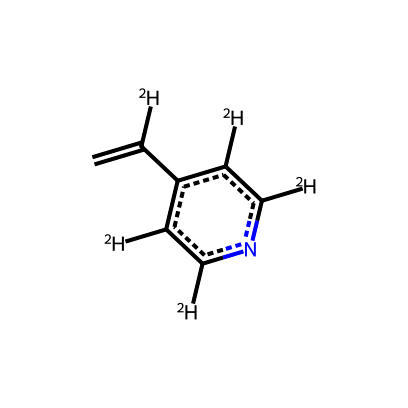 [2H]C(=C)c1c([2H])c([2H])nc([2H])c1[2H]